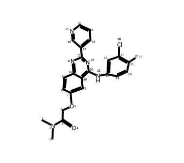 CN(C)C(=O)COc1ccc2nc(-c3cccnc3)nc(Nc3ccc(F)c(Cl)c3)c2c1